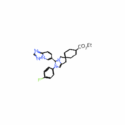 CCOC(=O)C1CCC2(CC1)CC1=CN(c3ccc(F)cc3)C(c3ccc4ncnn4c3)N1C2